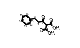 O=C(O)C(C(=O)O)C(=O)CCc1ccccc1